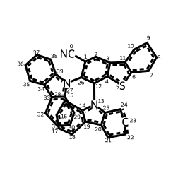 N#Cc1cc2c(sc3ccccc32)c(-n2c3ccccc3c3ccccc32)c1-n1c2ccccc2c2ccccc21